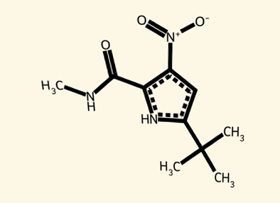 CNC(=O)c1[nH]c(C(C)(C)C)cc1[N+](=O)[O-]